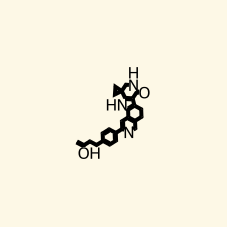 C=C(O)CCc1ccc(-c2cc3c(cn2)CCc2c-3[nH]c3c2C(=O)NCC32CC2)cc1